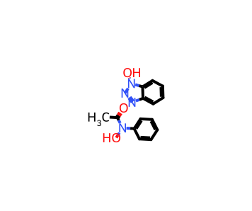 CC(=O)N(O)c1ccccc1.On1nnc2ccccc21